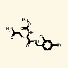 CC(C)c1ccc(CNC(=O)[C@H](CCC(N)=O)NC(=O)OC(C)(C)C)c(Cl)c1